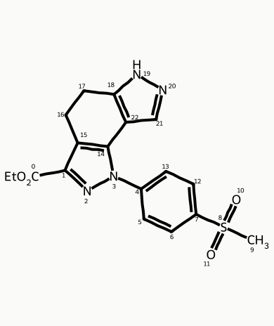 CCOC(=O)c1nn(-c2ccc(S(C)(=O)=O)cc2)c2c1CCc1[nH]ncc1-2